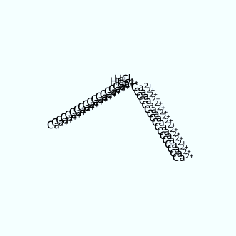 Cl.Cl.Cl.[Ca+2].[Ca+2].[Ca+2].[Ca+2].[Ca+2].[Ca+2].[Ca+2].[Ca+2].[Ca+2].[Ca+2].[Ca+2].[Ca+2].[Ca+2].[Ca+2].[Ca+2].[Ca+2].[Ca+2].[Ca+2].[Ca+2].[Ca+2].[Ca+2].[Ca+2].[Ca+2].[Ca+2].[Ca+2].[Ca+2].[Ca+2].[Ca+2].[Ca+2].[Ca+2].[Ca+2].[Ca+2].[Ca+2].[Ca+2]